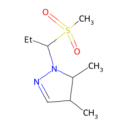 CCC(N1N=CC(C)C1C)S(C)(=O)=O